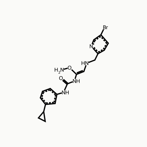 NO/C(=C\NCc1ccc(Br)cn1)NC(=O)Nc1cccc(C2CC2)c1